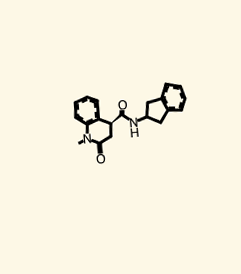 CN1C(=O)C[C@H](C(=O)NC2Cc3ccccc3C2)c2ccccc21